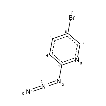 [N-]=[N+]=Nc1ccc(Br)cn1